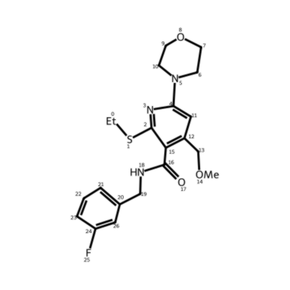 CCSc1nc(N2CCOCC2)cc(COC)c1C(=O)NCc1cccc(F)c1